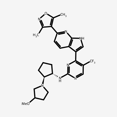 COC1CCN([C@H]2CCC[C@@H]2Nc2ncc(C(F)(F)F)c(-c3c[nH]c4nc(-c5c(C)noc5C)ccc34)n2)C1